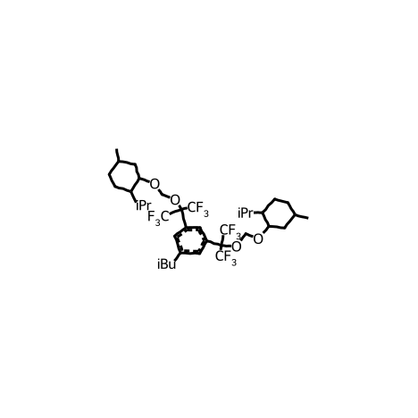 CCC(C)c1cc(C(OCOC2CC(C)CCC2C(C)C)(C(F)(F)F)C(F)(F)F)cc(C(OCOC2CC(C)CCC2C(C)C)(C(F)(F)F)C(F)(F)F)c1